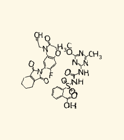 C#CCN1C(=O)COc2cc(F)c(N3C(=O)C4=C(CCCC4)C3=O)cc21.COc1nc(C)nc(NC(=O)NS(=O)(=O)c2ccccc2C(=O)O)n1